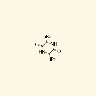 CCC(C)C1NC(=O)C(C(C)C)NC1=O